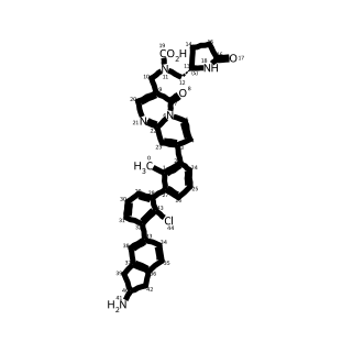 Cc1c(-c2ccn3c(=O)c(CN(C[C@@H]4CCC(=O)N4)C(=O)O)cnc3c2)cccc1-c1cccc(-c2ccc3c(c2)CC(N)C3)c1Cl